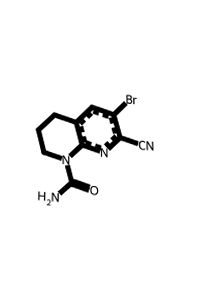 N#Cc1nc2c(cc1Br)CCCN2C(N)=O